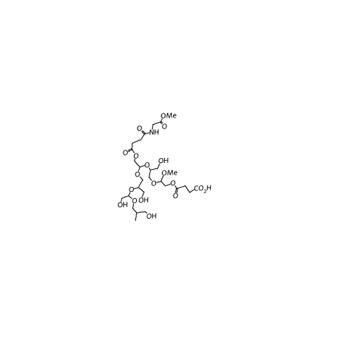 COC(=O)CNC(=O)CCC(=O)OCC(OCC(CO)OC(CO)OCC(C)CO)OC(CO)COC(COC(=O)CCC(=O)O)OC